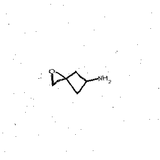 NC1CC2(CO2)C1